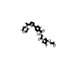 CC(c1ccc(-c2ccc(C(=O)NCC(=O)N3C[C@H](OCC=O)[C@@H](F)C3)cc2)s1)N1CCOCC1